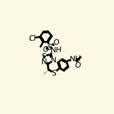 CC(=O)Nc1ccc(S[C@H](C)c2nsc(NS(=O)(=O)c3cccc(Cl)c3C)n2)cc1